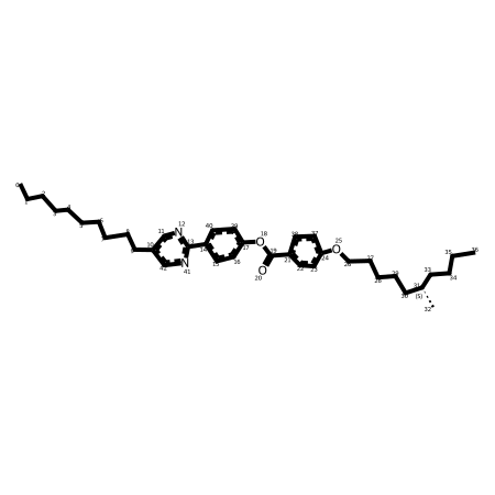 CCCCCCCCCCc1cnc(-c2ccc(OC(=O)c3ccc(OCCCCC[C@@H](C)CCCC)cc3)cc2)nc1